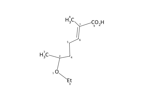 CCOC(C)CCC=C(C)C(=O)O